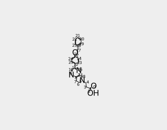 O=C(O)CCN1CCc2ncc(-c3ccc(OCc4ccccc4)cc3)nc2C1